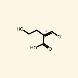 O=C(O)/C(=C\Cl)CCO